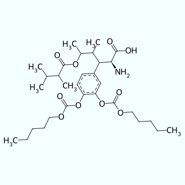 CCCCCOC(=O)Oc1ccc(C(C(C)C(C)OC(=O)C(C)C(C)C)[C@H](N)C(=O)O)cc1OC(=O)OCCCCC